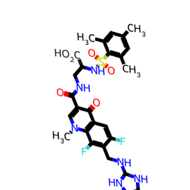 Cc1cc(C)c(S(=O)(=O)NC(CNC(=O)c2cn(C)c3c(F)c(CNC4NCCN4)c(F)cc3c2=O)C(=O)O)c(C)c1